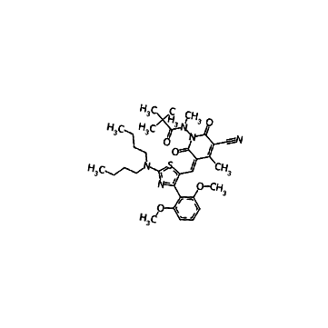 CCCCN(CCCC)c1nc(-c2c(OC)cccc2OC)c(/C=C2\C(=O)N(N(C)C(=O)C(C)(C)C)C(=O)C(C#N)=C2C)s1